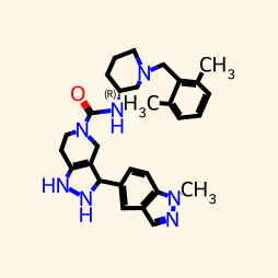 Cc1cccc(C)c1CN1CCC[C@@H](NC(=O)N2CCC3=C(C2)C(c2ccc4c(cnn4C)c2)NN3)C1